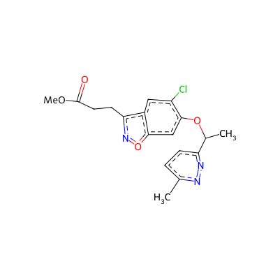 COC(=O)CCc1noc2cc(OC(C)c3ccc(C)nn3)c(Cl)cc12